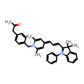 CC(=O)Cc1ccc(CN2C(C)=CC(=C/C=C/C3=[N+](c4ccccc4)c4ccccc4C3(C)C)C=C2C)cc1